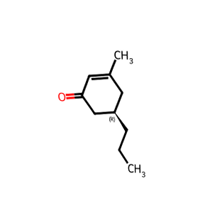 CCC[C@H]1CC(=O)C=C(C)C1